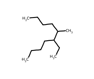 [CH2]CCCC(C)C(CC)CCC[CH2]